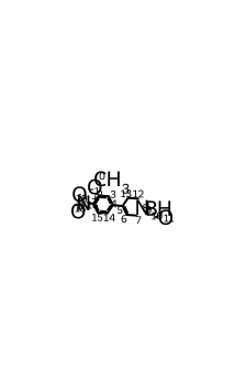 COc1cc(C2=CCN(BC=O)CC2)ccc1[N+](=O)[O-]